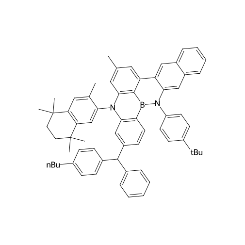 CCCCc1ccc(C(c2ccccc2)c2ccc3c(c2)N(c2cc4c(cc2C)C(C)(C)CCC4(C)C)c2cc(C)cc4c2B3N(c2ccc(C(C)(C)C)cc2)c2cc3ccccc3cc2-4)cc1